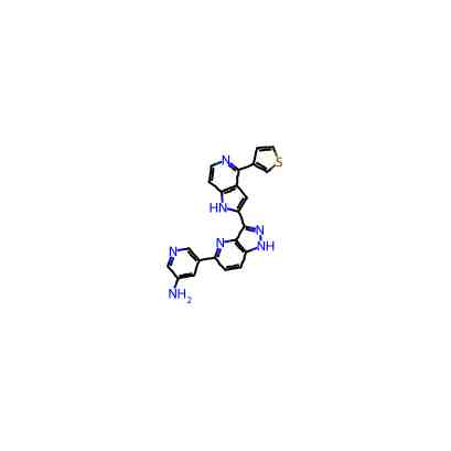 Nc1cncc(-c2ccc3[nH]nc(-c4cc5c(-c6ccsc6)nccc5[nH]4)c3n2)c1